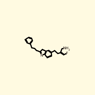 NC/C(=C\F)CCc1ccc2c(c1)CC(CCCc1ccccc1)=N2